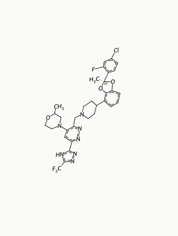 CC1CN(c2cc(-c3nnc(C(F)(F)F)[nH]3)nnc2CN2CCC(c3cccc4c3O[C@@](C)(c3ccc(Cl)cc3F)O4)CC2)CCO1